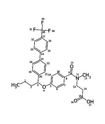 CCCC(Oc1ccc(C(=O)N(C)CCC(=O)O)cc1)c1ccc(-c2ccc(C(F)(F)F)cc2)cc1